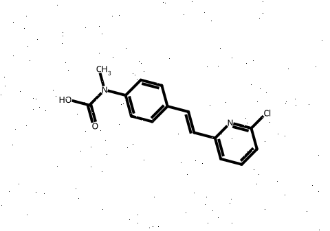 CN(C(=O)O)c1ccc(/C=C/c2cccc(Cl)n2)cc1